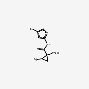 [2H]C1CC1(C(=O)O)C(=O)Nc1cc(Cl)cs1